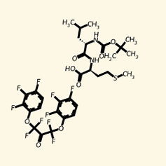 CSCC[C@H](NC(=O)[C@H](CC(C)C)NC(=O)OC(C)(C)C)C(=O)O.O=C(C(F)(F)Oc1ccc(F)c(F)c1F)C(F)(F)Oc1ccc(F)c(F)c1F